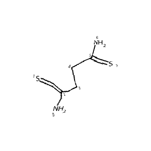 NC(=S)CCC(N)=S